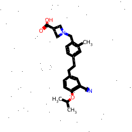 Cc1cc(CCc2ccc(OC(C)C)c(C#N)c2)ccc1CN1CC(C(=O)O)C1